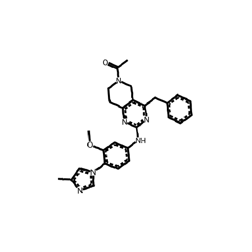 COc1cc(Nc2nc3c(c(Cc4ccccc4)n2)CN(C(C)=O)CC3)ccc1-n1cnc(C)c1